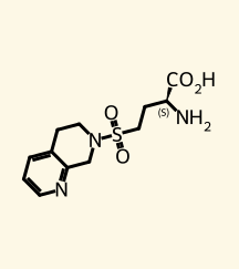 N[C@@H](CCS(=O)(=O)N1CCc2cccnc2C1)C(=O)O